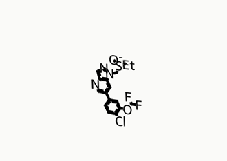 CC[S+]([O-])Cn1ncc2ncc(-c3ccc(Cl)c(OC(F)F)c3)cc21